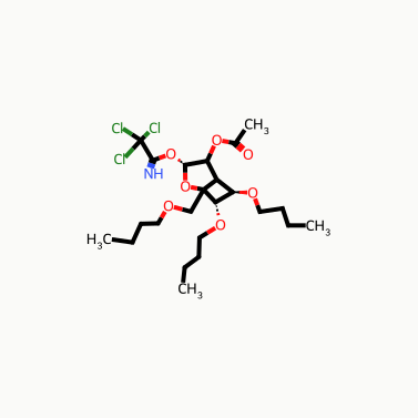 CCCCOCC12O[C@H](OC(=N)C(Cl)(Cl)Cl)C(OC(C)=O)C1[C@@H](OCCCC)[C@@H]2OCCCC